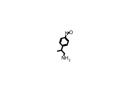 CC(CN)c1ccc(N=O)cc1